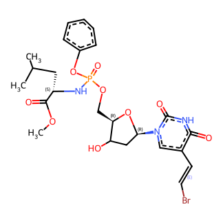 COC(=O)[C@H](CC(C)C)NP(=O)(OC[C@H]1O[C@@H](n2cc(/C=C/Br)c(=O)[nH]c2=O)CC1O)Oc1ccccc1